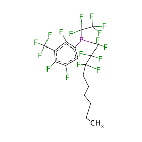 CCCCCCC(F)(F)C(F)(F)C(F)(F)P(c1cc(F)c(F)c(C(F)(F)F)c1F)C(F)(F)C(F)(F)F